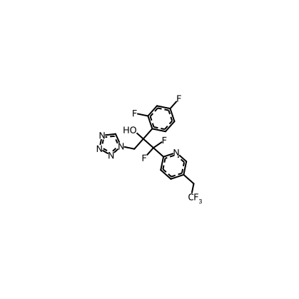 OC(Cn1cnnn1)(c1ccc(F)cc1F)C(F)(F)c1ccc(CC(F)(F)F)cn1